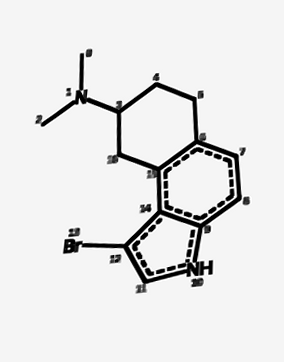 CN(C)C1CCc2ccc3[nH]cc(Br)c3c2C1